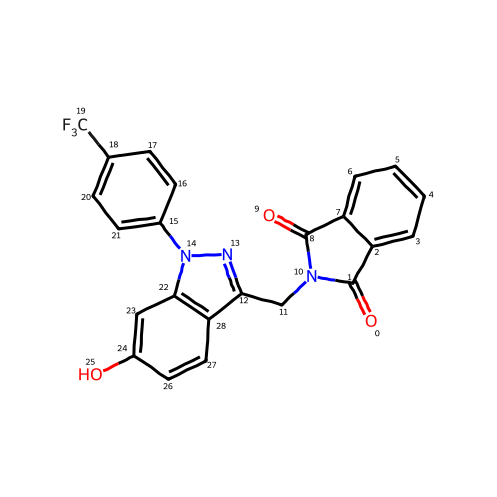 O=C1c2ccccc2C(=O)N1Cc1nn(-c2ccc(C(F)(F)F)cc2)c2cc(O)ccc12